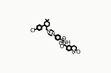 CN1C(=O)CCc2cc(C(=O)NS(=O)(=O)c3ccc(N4CCN(CC5=C(c6ccc(Cl)cc6)CC(C)(C)CC5)CC4)cc3)ccc21